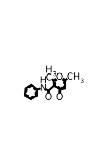 Cc1cc(=O)c(C(=O)Nc2ccccc2)c(C)o1